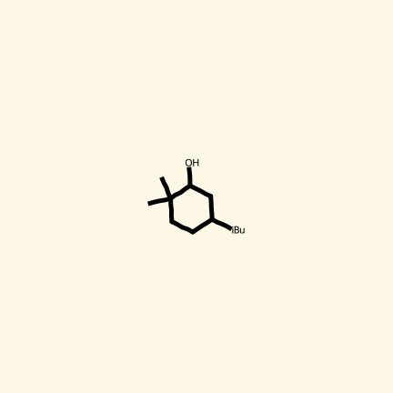 CCC(C)C1CCC(C)(C)C(O)C1